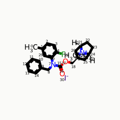 Cc1ccc(F)c(N(Cc2ccccc2)C(=O)OC[C@H]2C[C@H]3CC[C@@H](C2)[N+]3(C)C)c1.[I-]